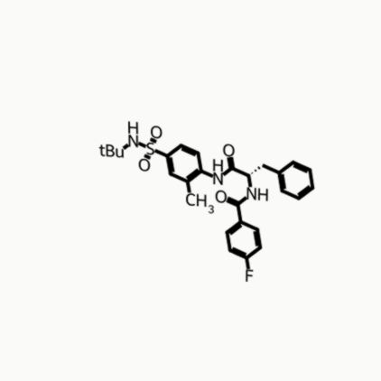 Cc1cc(S(=O)(=O)NC(C)(C)C)ccc1NC(=O)[C@H](Cc1ccccc1)NC(=O)c1ccc(F)cc1